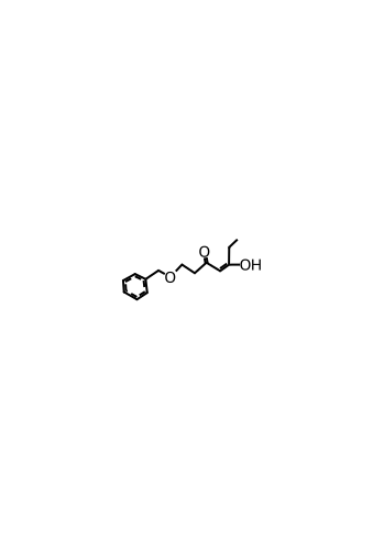 CC/C(O)=C\C(=O)CCOCc1ccccc1